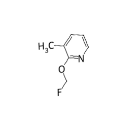 Cc1cccnc1OCF